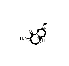 N[C@H]1CCS[C@H]2CC[C@@H](CF)CN2C1=O